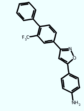 Nc1ccc(-c2cc(-c3ccc(-c4ccccc4)c(C(F)(F)F)c3)no2)cc1